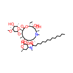 CCCCCCCCCCCCCC(=O)N(C)[C@H]1C[C@@H](C)O[C@@H](OC2[C@@H](C)[C@H](O[C@H]3C[C@@](C)(OC)[C@@H](O)[C@H](C)O3)[C@@H](C)C(=O)O[C@H](CC)[C@@](C)(O)[C@H](O)[C@@H](C)N(C)C[C@H](C)C[C@@]2(C)O)[C@@H]1O